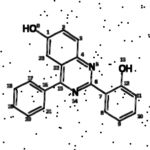 Oc1ccc2nc(-c3ccccc3O)nc(-c3ccccc3)c2c1